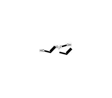 C=CC.C=CO.O=C(O)O